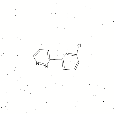 Clc1cccc(-c2cccnn2)c1